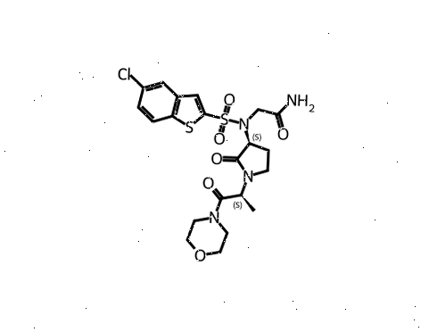 C[C@@H](C(=O)N1CCOCC1)N1CC[C@H](N(CC(N)=O)S(=O)(=O)c2cc3cc(Cl)ccc3s2)C1=O